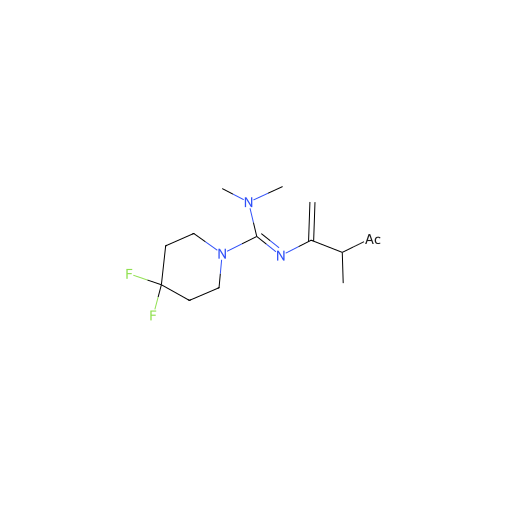 C=C(/N=C(\N(C)C)N1CCC(F)(F)CC1)C(C)C(C)=O